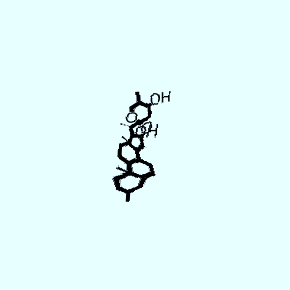 CC1CC[C@@]2(C)C(=CCC3C2CC[C@@]2(C)C3CC3OC4(CC(O)C(C)CO4)[C@@H](C)C32O)C1